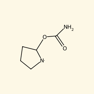 NC(=O)OC1CCC[N]1